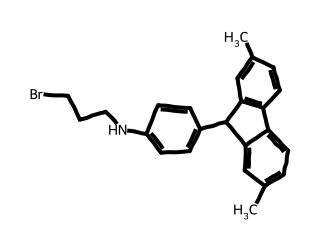 Cc1ccc2c(c1)C(c1ccc(NCCCBr)cc1)c1cc(C)ccc1-2